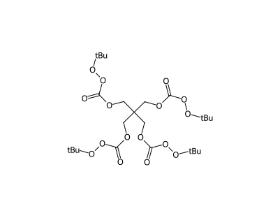 CC(C)(C)OOC(=O)OCC(COC(=O)OOC(C)(C)C)(COC(=O)OOC(C)(C)C)COC(=O)OOC(C)(C)C